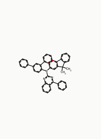 CC1(C)c2ccccc2-c2ccc(N(c3nc(-c4ccccc4)c4ccccc4n3)c3ccc(-c4ccccc4)cc3-c3ccccc3)cc21